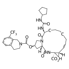 O=C(NC1CCCC1)N[C@H]1CCCCC/C=C\[C@@H]2C[C@@]2(C(=O)O)NC(=O)[C@@H]2C[C@@H](OC(=O)N3CCc4cccc(C(F)(F)F)c4C3)CN2C1=O